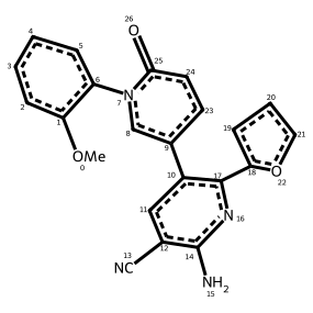 COc1ccccc1-n1cc(-c2cc(C#N)c(N)nc2-c2ccco2)ccc1=O